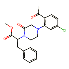 COC(=O)C(Cc1ccccc1)N1CCN(c2cc(Cl)ccc2C(C)=O)CC1=O